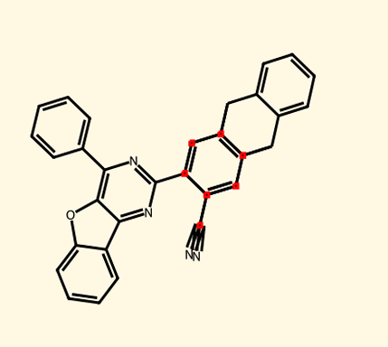 N#Cc1ccc2c(c1)C1c3ccccc3C2c2cc(-c3nc(-c4ccccc4)c4oc5ccccc5c4n3)c(C#N)cc21